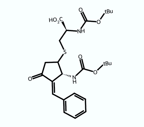 CC(C)(C)OC(=O)N[C@@H](CSC1CC(=O)C(=Cc2ccccc2)[C@H]1NC(=O)OC(C)(C)C)C(=O)O